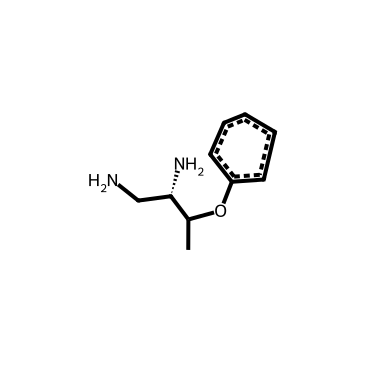 CC(Oc1ccccc1)[C@@H](N)CN